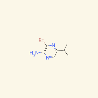 CC(C)c1cnc(N)c(Br)n1